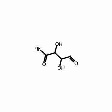 [NH]C(=O)C(O)C(O)[C]=O